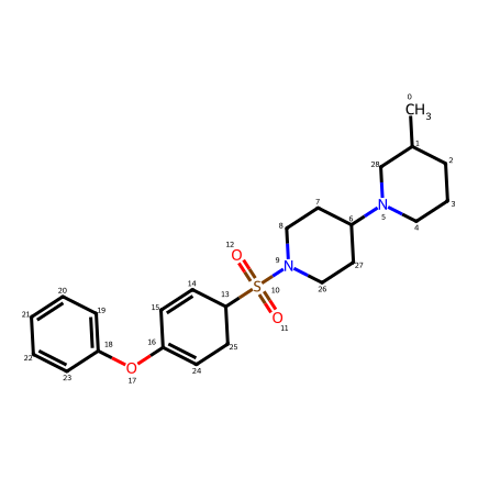 CC1CCCN(C2CCN(S(=O)(=O)C3C=CC(Oc4ccccc4)=CC3)CC2)C1